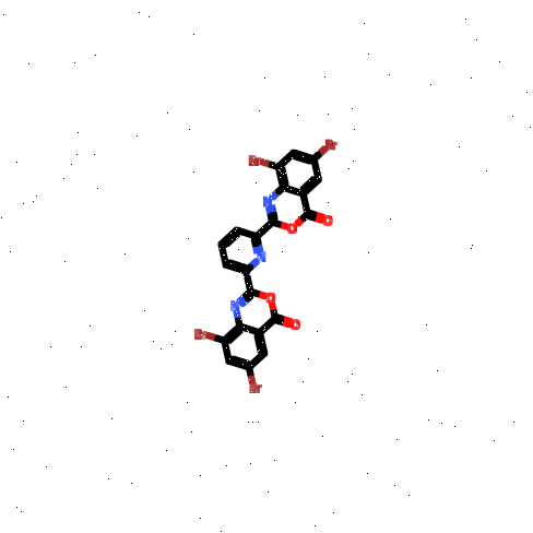 O=c1oc(-c2cccc(-c3nc4c(Br)cc(Br)cc4c(=O)o3)n2)nc2c(Br)cc(Br)cc12